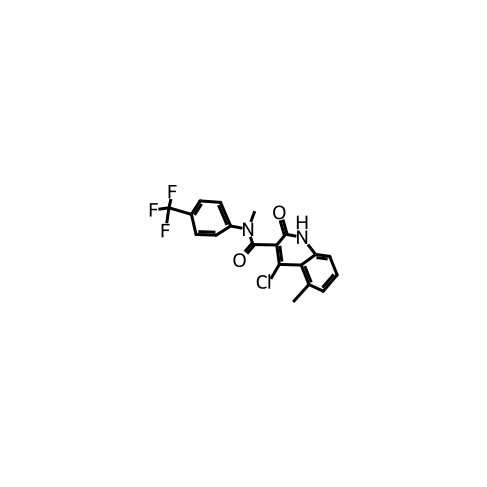 Cc1cccc2[nH]c(=O)c(C(=O)N(C)c3ccc(C(F)(F)F)cc3)c(Cl)c12